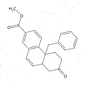 COC(=O)c1ccc2c(c1)C=CC1CC(=O)CCC21Cc1ccccc1